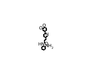 COc1ccc(-c2ccc(C=CC(=O)Nc3ccccc3N)cn2)cc1OC